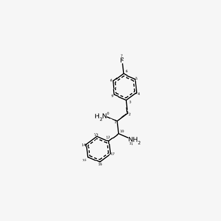 NC(Cc1ccc(F)cc1)C(N)c1ccccc1